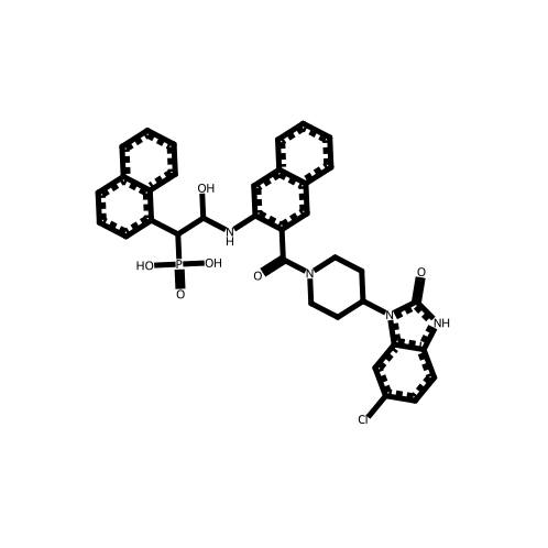 O=C(c1cc2ccccc2cc1NC(O)C(c1cccc2ccccc12)P(=O)(O)O)N1CCC(n2c(=O)[nH]c3ccc(Cl)cc32)CC1